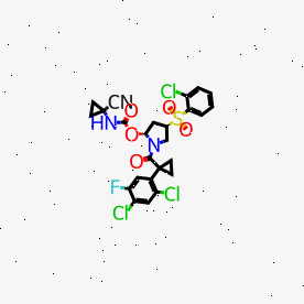 N#CC1(NC(=O)O[C@H]2C[C@@H](S(=O)(=O)c3ccccc3Cl)CN2C(=O)C2(c3cc(F)c(Cl)cc3Cl)CC2)CC1